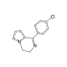 Clc1ccc(C2=NCCn3cccc32)cc1